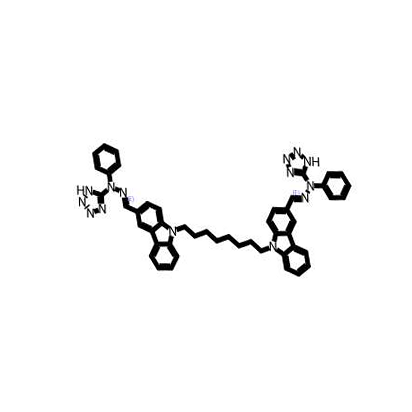 C(=N\N(c1ccccc1)c1nnn[nH]1)/c1ccc2c(c1)c1ccccc1n2CCCCCCCCn1c2ccccc2c2cc(/C=N/N(c3ccccc3)c3nnn[nH]3)ccc21